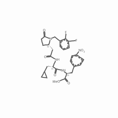 COC(=O)[C@H](Cc1ccc([N+](=O)[O-])cc1)NC(=O)[C@H](CC1CC1)NC(=O)C[C@@H]1CCC(=O)N1Cc1cccc(F)c1F